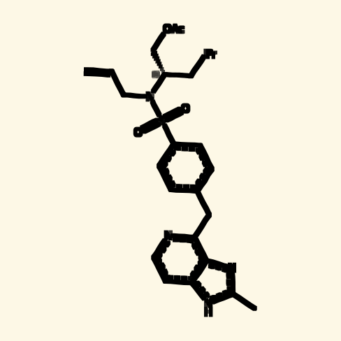 C=CCN([C@H](COC(C)=O)CC(C)C)S(=O)(=O)c1ccc(Cc2nccc3[nH]c(C)nc23)cc1